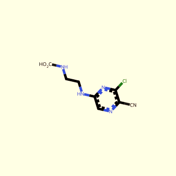 N#Cc1ncc(NCCNC(=O)O)nc1Cl